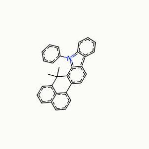 CC1(C)c2cccc3cccc(c23)-c2ccc3c4ccccc4n(-c4ccccc4)c3c21